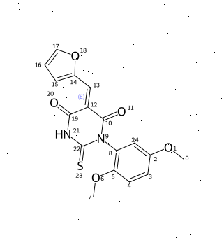 COc1ccc(OC)c(N2C(=O)/C(=C/c3ccco3)C(=O)NC2=S)c1